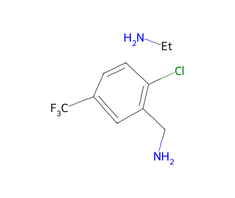 CCN.NCc1cc(C(F)(F)F)ccc1Cl